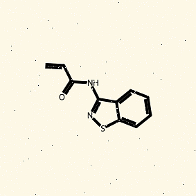 C=CC(=O)Nc1nsc2ccccc12